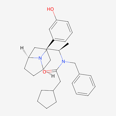 C[C@H](CN1[C@@H]2CC[C@H]1C[C@@H](c1cccc(O)c1)C2)N(Cc1ccccc1)C(=O)CC1CCCC1